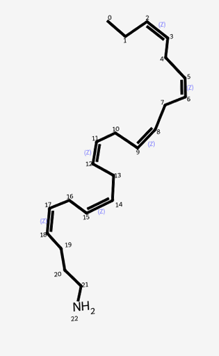 CC/C=C\C/C=C\C/C=C\C/C=C\C/C=C\C/C=C\CCCN